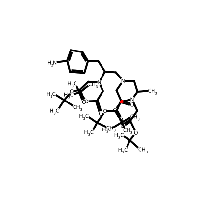 CC(CN(CC(=O)OC(C)(C)C)CC(Cc1ccc(N)cc1)N(CC(=O)OC(C)(C)C)CC(=O)OC(C)(C)C)N(CC(=O)OC(C)(C)C)CC(=O)OC(C)(C)C